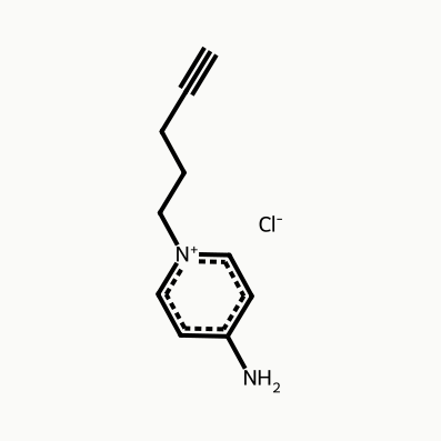 C#CCCC[n+]1ccc(N)cc1.[Cl-]